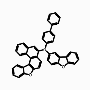 c1ccc(-c2ccc(N(c3ccc4oc5ccccc5c4c3)c3cc4ccccc4c4c3ccc3oc5ccccc5c34)cc2)cc1